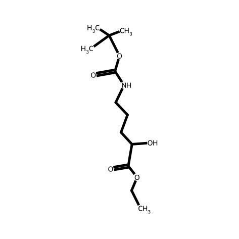 CCOC(=O)C(O)CCCNC(=O)OC(C)(C)C